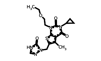 CCOCCn1c(=O)n(C2CC2)c(=O)c2c(C)c(Cn3nc[nH]c3=O)sc21